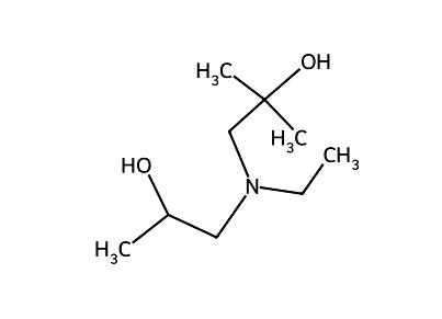 CCN(CC(C)O)CC(C)(C)O